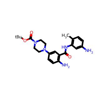 Cc1ccc(N)cc1NC(=O)c1cc(N2CCN(C(=O)OC(C)(C)C)CC2)ccc1N